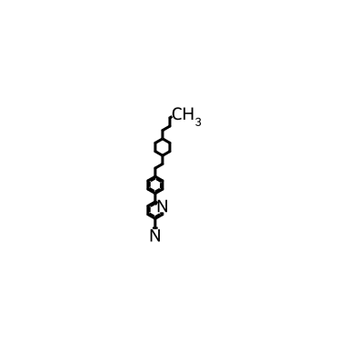 CCCCC1CCC(CCc2ccc(-c3ccc(C#N)cn3)cc2)CC1